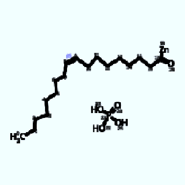 CCCCCCCC/C=C\CCCCCCC[C](=O)[Zn].O=P(O)(O)O